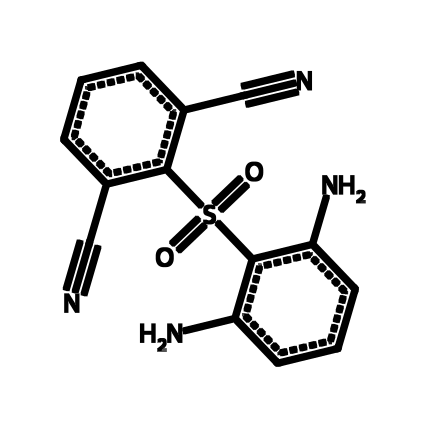 N#Cc1cccc(C#N)c1S(=O)(=O)c1c(N)cccc1N